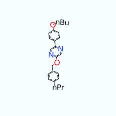 CCCCOc1ccc(-c2cnc(OCc3ccc(CCC)cc3)cn2)cc1